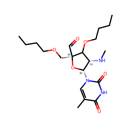 CCCCOC[C@@]1(C=O)O[C@@H](n2cc(C)c(=O)[nH]c2=O)[C@@H](NC)C1OCCCC